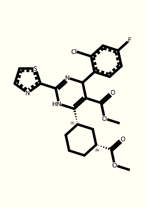 COC(=O)C1=C([C@H]2CCC[C@@H](C(=O)OC)C2)NC(c2nccs2)=NC1c1ccc(F)cc1Cl